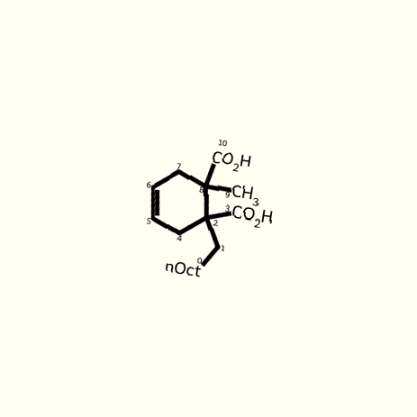 CCCCCCCCCC1(C(=O)O)CC=CCC1(C)C(=O)O